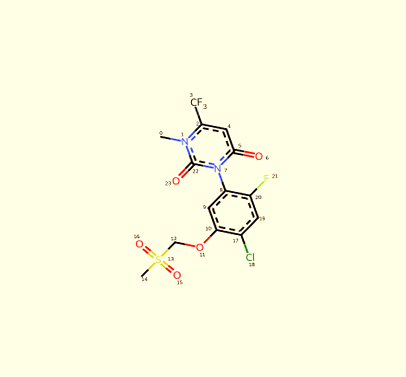 Cn1c(C(F)(F)F)cc(=O)n(-c2cc(OCS(C)(=O)=O)c(Cl)cc2F)c1=O